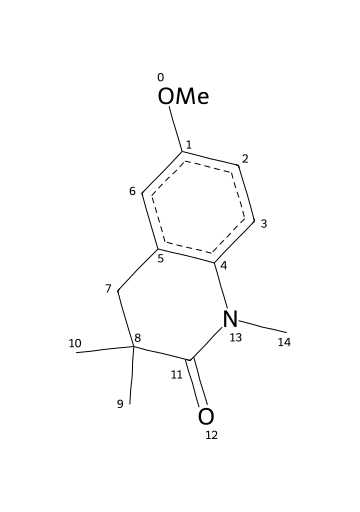 COc1ccc2c(c1)CC(C)(C)C(=O)N2C